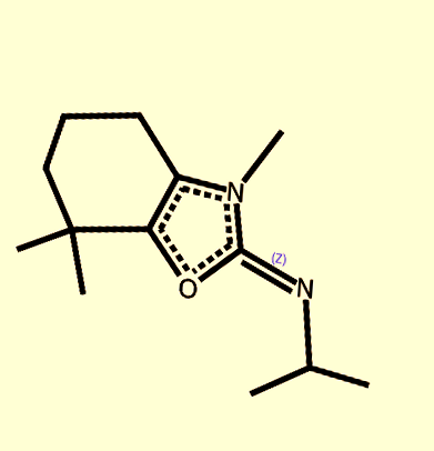 CC(C)/N=c1\oc2c(n1C)CCCC2(C)C